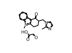 Cc1nccn1CC1CCc2c(c3ccccc3n2C)C1=O.O=CC(=O)O